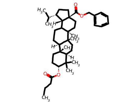 CCCC(=O)O[C@@H]1CC[C@]2(C)[C@H]3CCC4[C@@H]5[C@H](C(C)C)CC[C@]5(C(=O)OCc5ccccc5)CC[C@@]4(C)[C@]3(C)CC[C@H]2C1(C)C